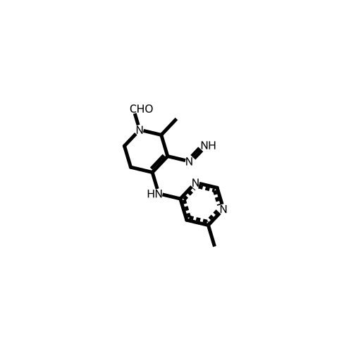 Cc1cc(NC2=C(N=N)C(C)N(C=O)CC2)ncn1